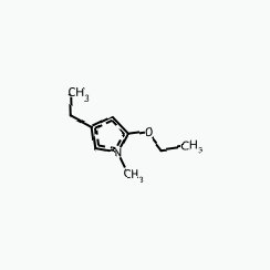 CCOc1cc(CC)cn1C